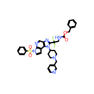 O=C(NCC(F)(F)c1nc2cnc3c(ccn3S(=O)(=O)c3ccccc3)c2n1C1CCN(Cc2cccnc2)CC1)OCc1ccccc1